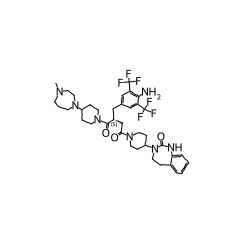 CN1CCCN(C2CCN(C(=O)[C@H](CC(=O)N3CCC(N4CCc5ccccc5NC4=O)CC3)Cc3cc(C(F)(F)F)c(N)c(C(F)(F)F)c3)CC2)CC1